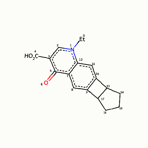 CCn1cc(C(=O)O)c(=O)c2cc3c(cc21)C1CCCC31